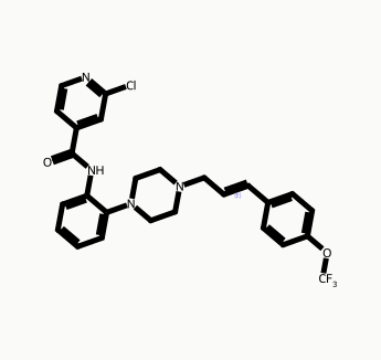 O=C(Nc1ccccc1N1CCN(C/C=C/c2ccc(OC(F)(F)F)cc2)CC1)c1ccnc(Cl)c1